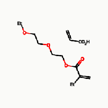 C=C(CC)C(=O)OCCOCCOCC.C=CC(=O)O